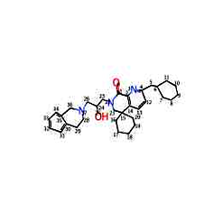 O=C1c2nc(CC3CCCCC3)ccc2C2(CCCCC2)CN1CC(O)CN1CCc2ccccc2C1